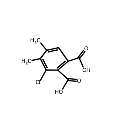 Cc1cc(C(=O)O)c(C(=O)O)c(Cl)c1C